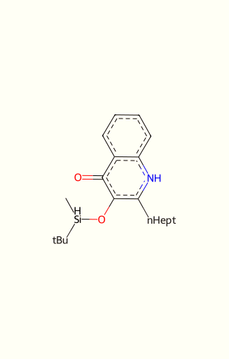 CCCCCCCc1[nH]c2ccccc2c(=O)c1O[SiH](C)C(C)(C)C